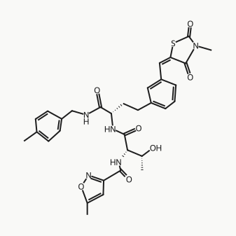 Cc1ccc(CNC(=O)[C@H](CCc2cccc(C=C3SC(=O)N(C)C3=O)c2)NC(=O)[C@@H](NC(=O)c2cc(C)on2)[C@@H](C)O)cc1